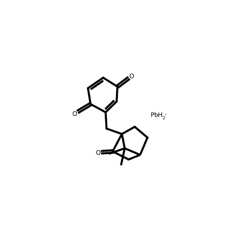 CC1(C)C2CCC1(CC1=CC(=O)C=CC1=O)C(=O)C2.[PbH2]